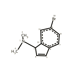 CN(C)C1C=Cc2ccc(Br)cc21